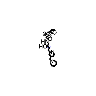 O=C(CS(=O)(=O)Cc1ccoc1)NC/C(O)=C/Cc1cc(CN2CCCCCC2)ccn1